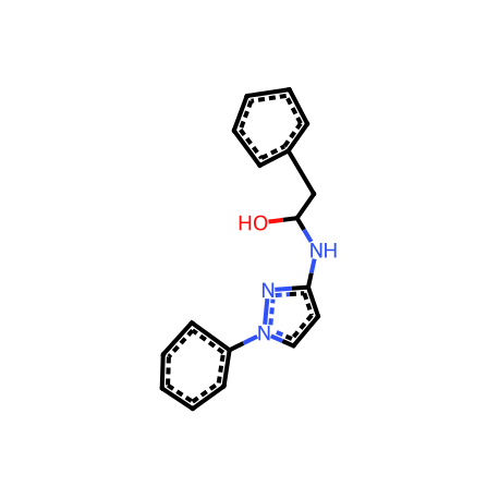 OC(Cc1ccccc1)Nc1ccn(-c2ccccc2)n1